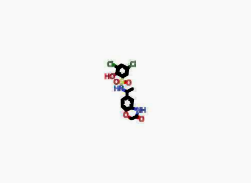 CC(NS(=O)(=O)c1cc(Cl)cc(Cl)c1O)c1ccc2c(c1)NC(=O)CO2